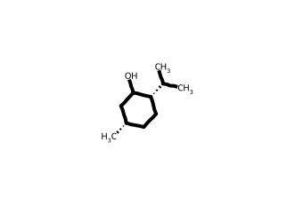 CC(C)[C@@H]1CC[C@H](C)CC1O